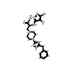 CCc1noc(NC(CN2CCN(c3nc(Cc4ccccc4)ns3)CC2)C(N)=O)c1CC